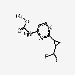 CC(C)(C)OC(=O)Nc1ccnc(C2CC2C(F)F)n1